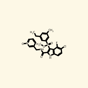 CCc1cc(C)cc(P(=O)(OC)c2c(C(=O)NCc3ccc[n+]([O-])c3)[nH]c3ccc(Cl)c(F)c23)c1